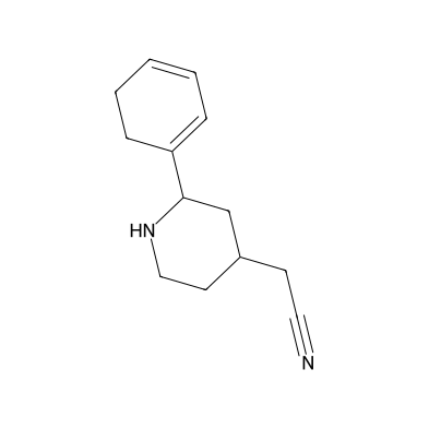 N#CCC1CCNC(C2=CC=CCC2)C1